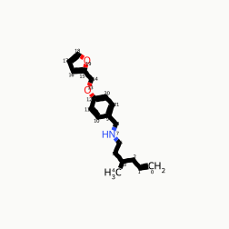 C=CCC(C)CCNCc1ccc(OCc2ccco2)cc1